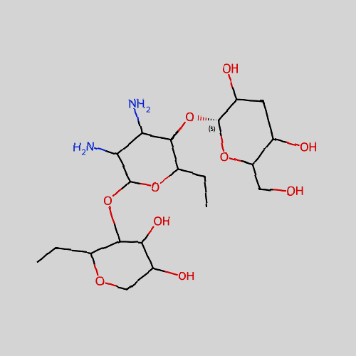 CCC1OC(OC2C(CC)OCC(O)C2O)C(N)C(N)C1O[C@H]1OC(CO)C(O)CC1O